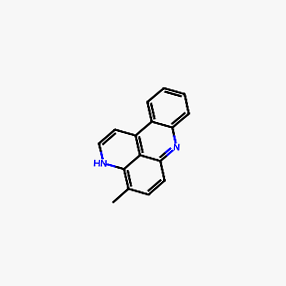 Cc1ccc2nc3ccccc3c3c2c1NC=C3